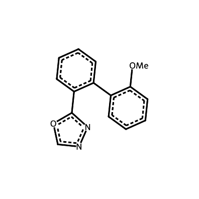 COc1ccccc1-c1ccccc1-c1nnco1